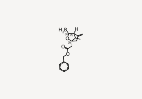 B[C@@H]1O[C@]2(CC(=O)OCc3ccccc3)CC(=C)[C@@H]1C2C